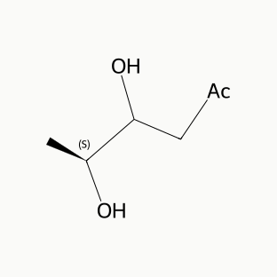 CC(=O)CC(O)[C@H](C)O